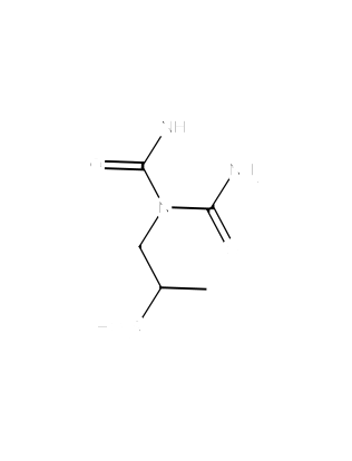 CC(CN(C(N)=O)C(N)=O)S(=O)(=O)O